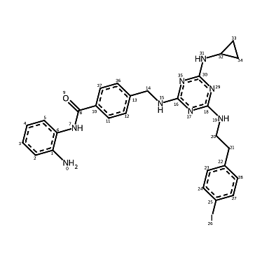 Nc1ccccc1NC(=O)c1ccc(CNc2nc(NCCc3ccc(I)cc3)nc(NC3CC3)n2)cc1